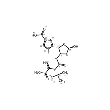 CC(=O)C(=N)[C@H](C(=O)CC1C[C@H](O)C[C@H]1c1nc(C(=O)O)c[nH]1)C(C)(C)C